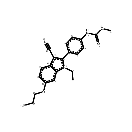 CCn1c(-c2ccc(NC(=O)OC)cc2)c(C#N)c2ccc(OCCF)cc21